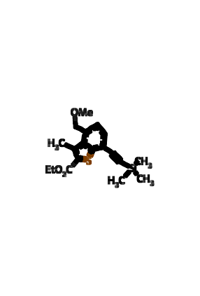 CCOC(=O)c1sc2c(C#C[Si](C)(C)C)ccc(COC)c2c1C